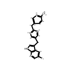 Fc1cnc2[nH]cc(Cc3cnc([CH]c4ccc(C(F)(F)F)nc4)nc3)c2c1